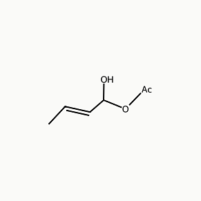 CC=CC(O)OC(C)=O